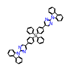 c1ccc([Si](c2ccccc2)(c2ccc(-c3cnc(-n4c5ccccc5c5ccccc54)nc3)cc2)c2ccc(-c3cnc(-n4c5ccccc5c5ccccc54)nc3)cc2)cc1